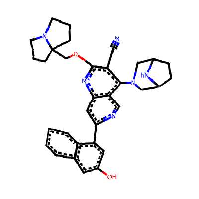 N#Cc1c(OCC23CCCN2CCC3)nc2cc(-c3cc(O)cc4ccccc34)ncc2c1N1CC2CCC(C1)N2